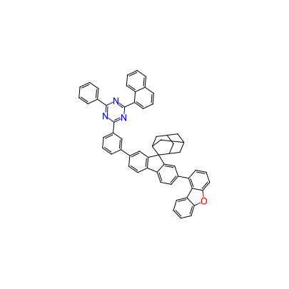 c1ccc(-c2nc(-c3cccc(-c4ccc5c(c4)C4(c6cc(-c7cccc8oc9ccccc9c78)ccc6-5)C5CC6CC(C5)CC4C6)c3)nc(-c3cccc4ccccc34)n2)cc1